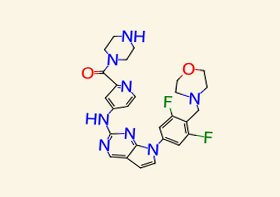 O=C(c1cc(Nc2ncc3ccn(-c4cc(F)c(CN5CCOCC5)c(F)c4)c3n2)ccn1)N1CCNCC1